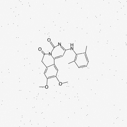 COc1cc2c(cc1OC)-c1cc(Nc3c(C)cccc3C)nc(=O)n1C(=O)C2